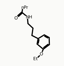 CCCC(=O)NCCCc1cccc(OCC)c1